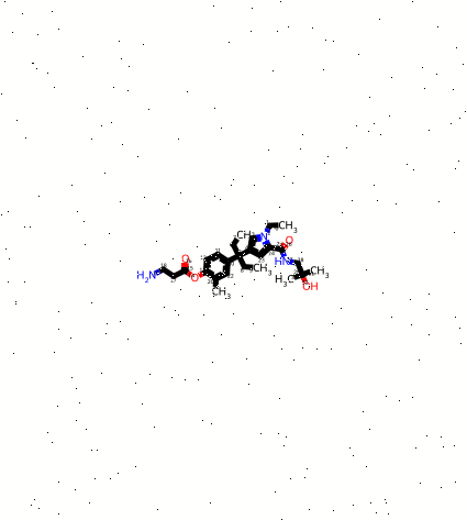 CCn1cc(C(CC)(CC)c2ccc(OC(=O)CCN)c(C)c2)cc1C(=O)NCC(C)(C)O